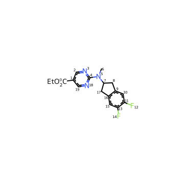 CCOC(=O)c1cnc(N(C)C2Cc3cc(F)c(F)cc3C2)nc1